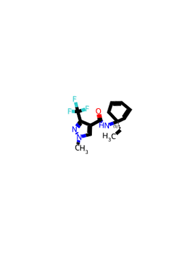 CC[C@@]1(NC(=O)c2cn(C)nc2C(F)(F)F)C=CC=CC1